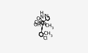 Cc1c(Cl)cccc1C#Cc1nc(C(N)=O)c(-c2cccnc2)n1C.O=CO